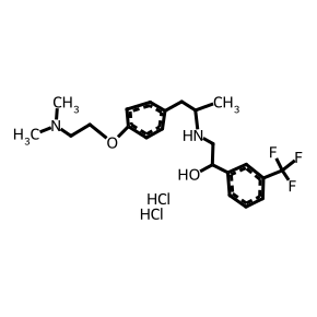 CC(Cc1ccc(OCCN(C)C)cc1)NCC(O)c1cccc(C(F)(F)F)c1.Cl.Cl